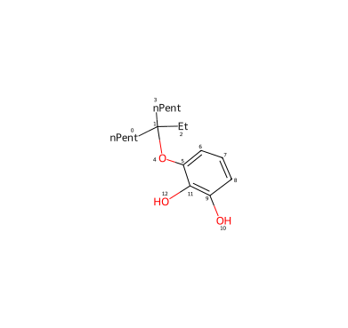 CCCCCC(CC)(CCCCC)Oc1cccc(O)c1O